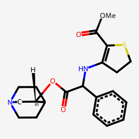 COC(=O)C1=C(NC(C(=O)O[C@H]2CN3CCC2CC3)c2ccccc2)CCS1